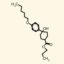 CCCCCCOc1ccc(C2(O)CCC(C(=O)OCCC)CC2)cc1